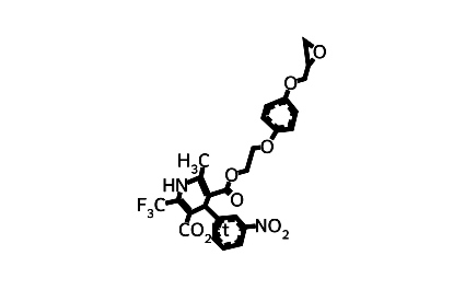 CCOC(=O)C1=C(C(F)(F)F)NC(C)=C(C(=O)OCCOc2ccc(OCC3CO3)cc2)C1c1cccc([N+](=O)[O-])c1